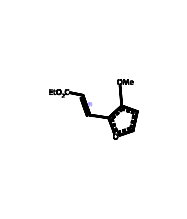 CCOC(=O)/C=C/c1occc1OC